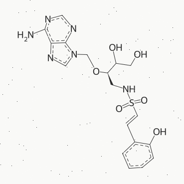 Nc1ncnc2c1ncn2CO[C@H](CNS(=O)(=O)/C=C/c1ccccc1O)C(O)CO